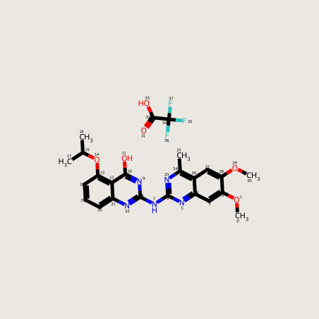 COc1cc2nc(Nc3nc(O)c4c(OC(C)C)cccc4n3)nc(C)c2cc1OC.O=C(O)C(F)(F)F